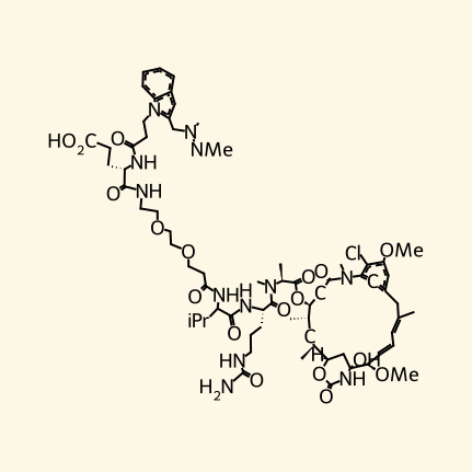 CNN(C)Cc1cc2ccccc2n1CCC(=O)N[C@@H](CCC(=O)O)C(=O)NCCOCCOCCC(=O)NC(C(=O)N[C@@H](CCCNC(N)=O)C(=O)N(C)[C@@H](C)C(=O)O[C@H]1CC(=O)N(C)c2cc(cc(OC)c2Cl)C/C(C)=C/C=C/[C@@H](OC)[C@@]2(O)C[C@H](OC(=O)N2)[C@@H](C)C[C@@H]1C)C(C)C